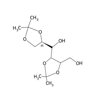 CC1(C)OC(CO)C(C(O)[C@H]2COC(C)(C)O2)O1